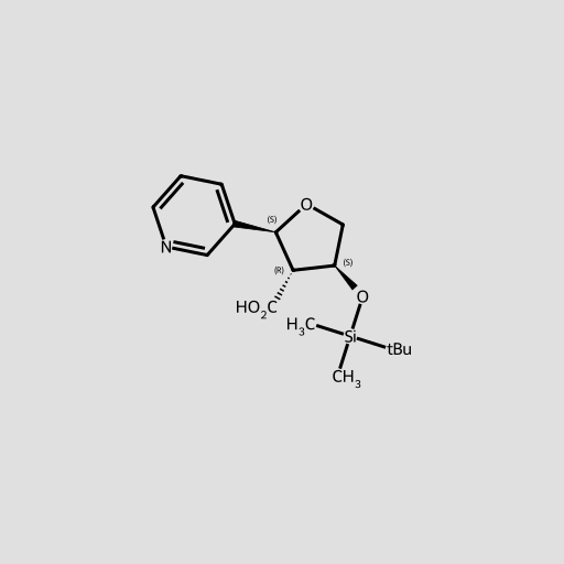 CC(C)(C)[Si](C)(C)O[C@@H]1CO[C@H](c2cccnc2)[C@H]1C(=O)O